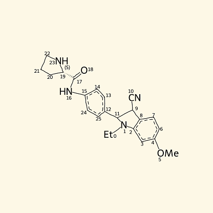 CCN1c2cc(OC)ccc2C(C#N)C1c1ccc(NC(=O)[C@@H]2CCCN2)cc1